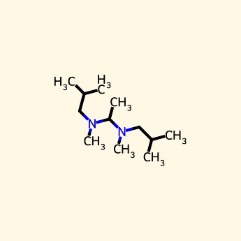 CC(C)CN(C)C(C)N(C)CC(C)C